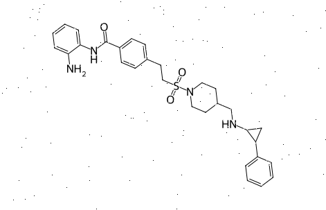 Nc1ccccc1NC(=O)c1ccc(CCS(=O)(=O)N2CCC(CNC3CC3c3ccccc3)CC2)cc1